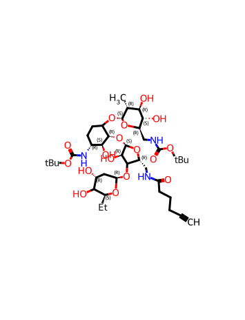 C#CCCCC(=O)NC[C@H]1O[C@@H](O[C@H]2C(O[C@H]3O[C@H](CNC(=O)OC(C)(C)C)[C@@H](O)[C@H](O)[C@H]3C)CC[C@@H](NC(=O)OC(C)(C)C)[C@@H]2O)[C@H](O)C1O[C@@H]1C[C@@H](O)C(O)[C@H](CC)O1